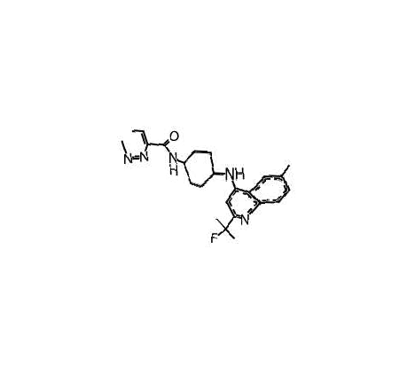 C/C=C(\N=N/C)C(=O)NC1CCC(Nc2cc(C(C)(C)F)nc3ccc(C)cc23)CC1